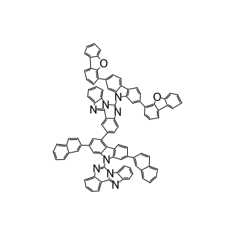 c1ccc2cc(-c3ccc4c5c(-c6ccc7nc(-n8c9cc(-c%10cccc%11c%10oc%10ccccc%10%11)ccc9c9ccc(-c%10cccc%11c%10oc%10ccccc%10%11)cc98)n8c9ccccc9nc8c7c6)cc(-c6ccc7ccccc7c6)cc5n(-c5nc6ccccc6c6nc7ccccc7n56)c4c3)ccc2c1